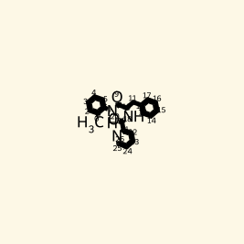 Cc1ccccc1NC(=O)C(Cc1ccccc1)NC(=O)c1ccccn1